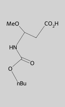 CCCCOC(=O)NC(CC(=O)O)OC